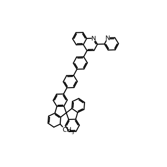 CC1CC=CC2=C1C1(c3cc(-c4ccc(-c5ccc(-c6cc(-c7ccccn7)nc7ccccc67)cc5)cc4)ccc32)c2ccccc2-c2ccccc21